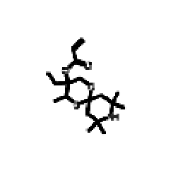 C=CC(=O)OC1(CC)COC2(CC(C)(C)NC(C)(C)C2)OC1C